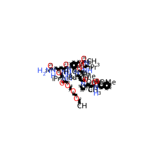 C#CCOCCOCCOCC(=O)N[C@H](C(=O)NC(CCCNC(N)=O)C(=O)Nc1ccc(COC(=O)N(C)[C@H](C(=O)N[C@H](C(=O)N(C)[C@@H](C(C)CC)[C@@H](CC(=O)N2CCC[C@H]2[C@H](OC)[C@@H](C)C(=O)NC(Cc2ccccc2)C(=O)OC)OC)C(C)C)C(C)C)cc1)C(C)C